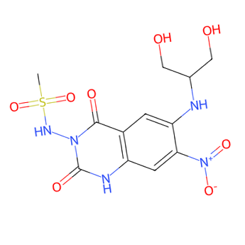 CS(=O)(=O)Nn1c(=O)[nH]c2cc([N+](=O)[O-])c(NC(CO)CO)cc2c1=O